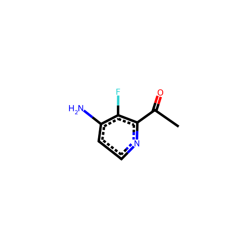 CC(=O)c1nccc(N)c1F